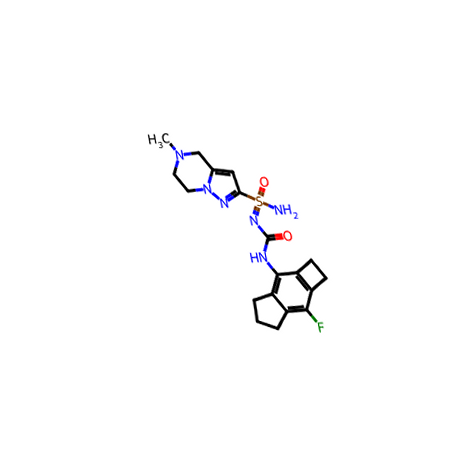 CN1CCn2nc(S(N)(=O)=NC(=O)Nc3c4c(c(F)c5c3CC5)CCC4)cc2C1